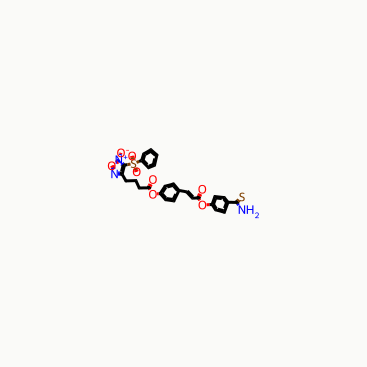 NC(=S)c1ccc(OC(=O)/C=C/c2ccc(OC(=O)CCCc3no[n+]([O-])c3S(=O)(=O)c3ccccc3)cc2)cc1